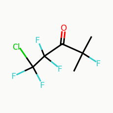 CC(C)(F)C(=O)C(F)(F)C(F)(F)Cl